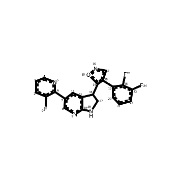 Fc1cccnc1-c1cnc2c(c1)C(c1oncc1-c1cccc(F)c1F)CN2